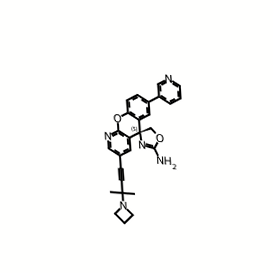 CC(C)(C#Cc1cnc2c(c1)[C@]1(COC(N)=N1)c1cc(-c3cccnc3)ccc1O2)N1CCC1